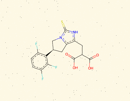 O=C(O)C(Cc1[nH]c(=S)n2c1C[C@@H](c1c(F)ccc(F)c1F)C2)C(=O)O